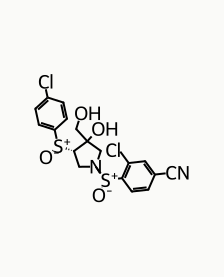 N#Cc1ccc([S+]([O-])N2C[C@H]([S+]([O-])c3ccc(Cl)cc3)C(O)(CO)C2)c(Cl)c1